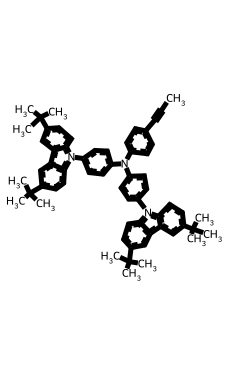 CC#Cc1ccc(N(c2ccc(-n3c4ccc(C(C)(C)C)cc4c4cc(C(C)(C)C)ccc43)cc2)c2ccc(-n3c4ccc(C(C)(C)C)cc4c4cc(C(C)(C)C)ccc43)cc2)cc1